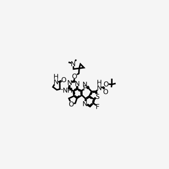 CN(C)CC1(COc2nc(N[C@@H]3CCNC3=O)c3c4c(c(-c5ncc(F)c6sc(NC(=O)OC(C)(C)C)c(C#N)c56)c(F)c3n2)COC4)CC1